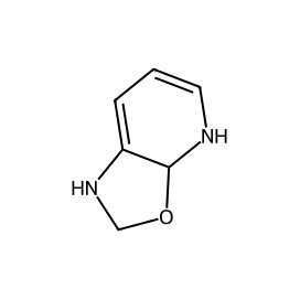 C1=CNC2OCNC2=C1